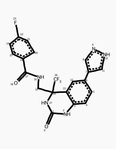 O=C1Nc2ccc(-c3cn[nH]c3)cc2C(CNC(=O)c2ccc(F)cc2)(C(F)(F)F)N1